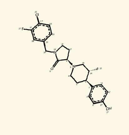 O=C1[C@H](N2CC[C@H](c3ccc(O)cc3)[C@@H](F)C2)CCN1Cc1ccc(Cl)c(F)c1